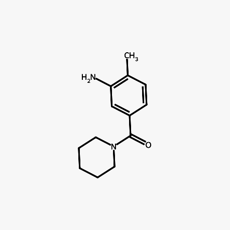 Cc1ccc(C(=O)N2CCCCC2)cc1N